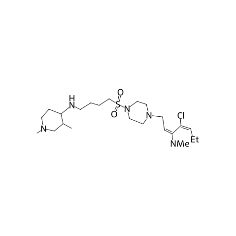 CC/C=C(Cl)\C(=C/CN1CCN(S(=O)(=O)CCCCNC2CCN(C)CC2C)CC1)NC